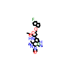 CCOC(=O)c1[nH]c2c(-c3c([C@@H](CCNC)N4CCOCC4)nn(C)c3C)c(Cl)ccc2c1CCCOc1cccc2cc(F)ccc12